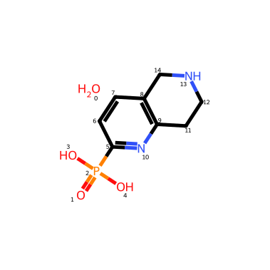 O.O=P(O)(O)c1ccc2c(n1)CCNC2